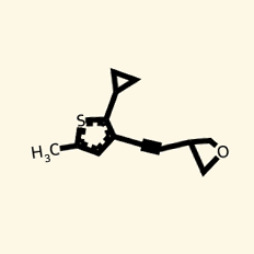 Cc1cc(C#CC2COC2)c(C2CC2)s1